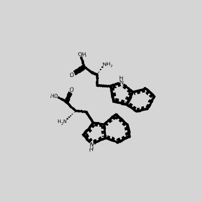 N[C@@H](Cc1c[nH]c2ccccc12)C(=O)O.N[C@H](Cc1cc2ccccc2[nH]1)C(=O)O